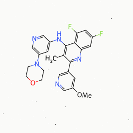 COc1cncc(-c2nc3cc(F)cc(F)c3c(Nc3cncc(N4CCOCC4)c3)c2C)c1